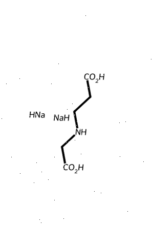 O=C(O)CCNCC(=O)O.[NaH].[NaH]